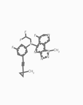 Cn1nnc2nc(N(CC(F)F)c3cc(F)cc(C#CC4(C)CC4)c3)c3c(F)cncc3c21